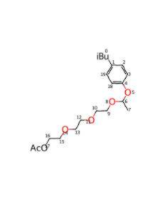 CCC(C)c1ccc(OC(C)OCCOCCOCCOC(C)=O)cc1